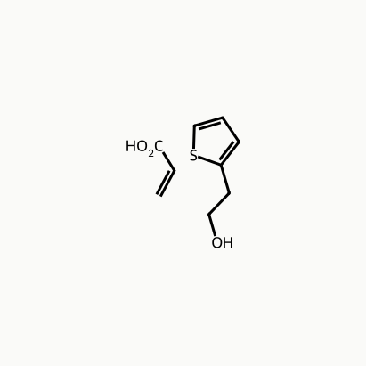 C=CC(=O)O.OCCc1cccs1